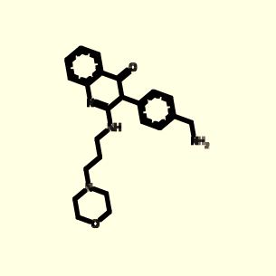 NCc1ccc(C2C(=O)c3ccccc3N=C2NCCCN2CCOCC2)cc1